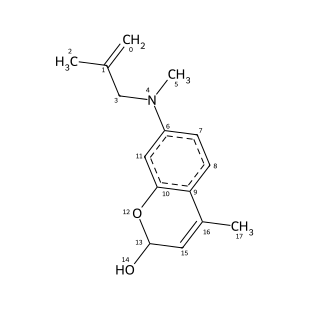 C=C(C)CN(C)c1ccc2c(c1)OC(O)C=C2C